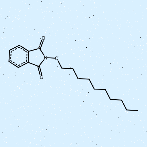 CCCCCCCCCCON1C(=O)c2ccccc2C1=O